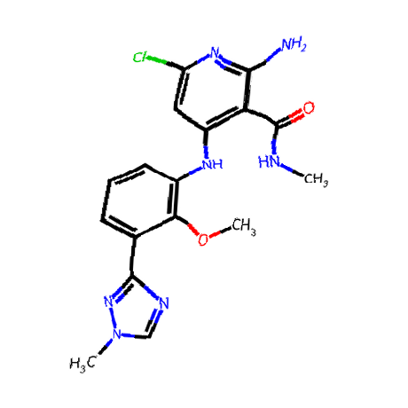 CNC(=O)c1c(Nc2cccc(-c3ncn(C)n3)c2OC)cc(Cl)nc1N